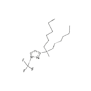 CCCCCCC(C)(CCCCCC)c1ccn(C(F)(F)F)n1